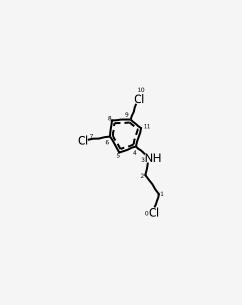 ClCCNc1cc(Cl)cc(Cl)c1